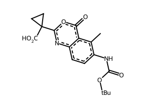 Cc1c(NC(=O)OC(C)(C)C)ccc2nc(C3(C(=O)O)CC3)oc(=O)c12